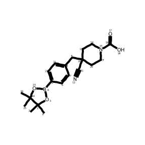 CC1(C)OB(c2ccc(CC3(C#N)CCN(C(=O)O)CC3)cc2)OC1(C)C